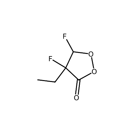 CCC1(F)C(=O)OOC1F